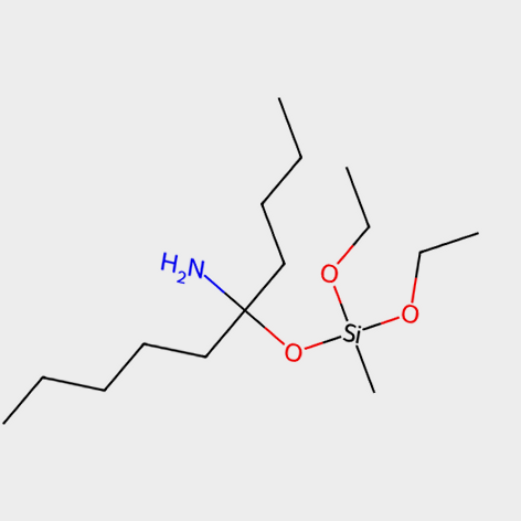 CCCCCC(N)(CCCC)O[Si](C)(OCC)OCC